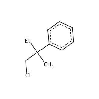 CCC(C)(CCl)c1ccccc1